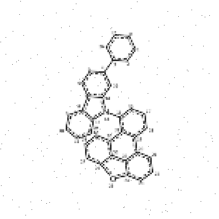 c1ccc(-c2ccc3c4ccccc4n(-c4cccc5c6cccc7oc8cccc(c45)c8c76)c3c2)cc1